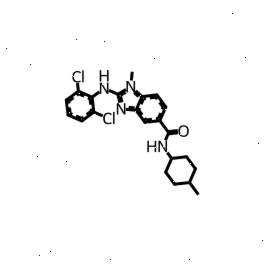 CC1CCC(NC(=O)c2ccc3c(c2)nc(Nc2c(Cl)cccc2Cl)n3C)CC1